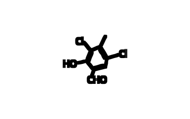 Cc1c(Cl)cc(C=O)c(O)c1Cl